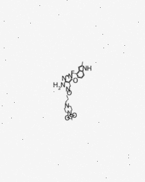 Cc1cc2c(F)c(Oc3ncnc(N)c3C=NOCCCN3CCN(S(C)(=O)=O)CC3)ccc2[nH]1